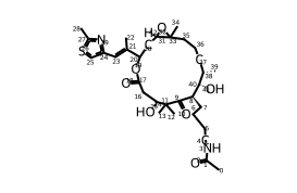 CC(=O)NCCCC[C@H]1C(=O)C(C)(C)[C@@H](O)CC(=O)OC(/C(C)=C/c2csc(C)n2)C[C@@H]2OC2(C)CCC[C@H](C)[C@@H]1O